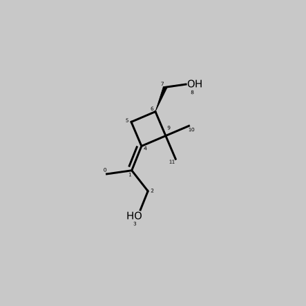 C/C(CO)=C1\C[C@@H](CO)C1(C)C